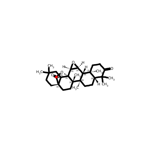 CC1(C)CC[C@@]23CC[C@]4(C)[C@@](OC2=O)([C@@H]3C1)[C@H]1O[C@H]1[C@@H]1[C@@]2(C)CCC(=O)C(C)(C)[C@@H]2CC[C@]14C